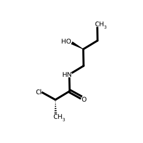 CC[C@H](O)CNC(=O)[C@H](C)Cl